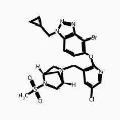 CS(=O)(=O)N1C[C@@H]2C[C@H]1CN2Cc1cc(Cl)cnc1Oc1ccc2c(nnn2CC2CC2)c1Br